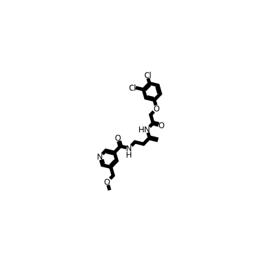 C=C(CCNC(=O)c1cncc(COC)c1)NC(=O)COc1ccc(Cl)c(Cl)c1